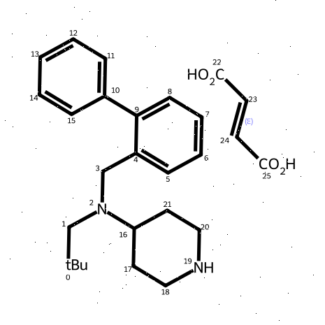 CC(C)(C)CN(Cc1ccccc1-c1ccccc1)C1CCNCC1.O=C(O)/C=C/C(=O)O